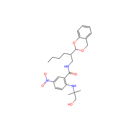 CCCCC(CNC(=O)c1cc([N+](=O)[O-])ccc1NC(C)(C)CO)C1OCc2ccccc2O1